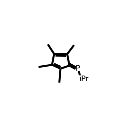 CC1=C(C)C(C)=C(C)C1=PC(C)C